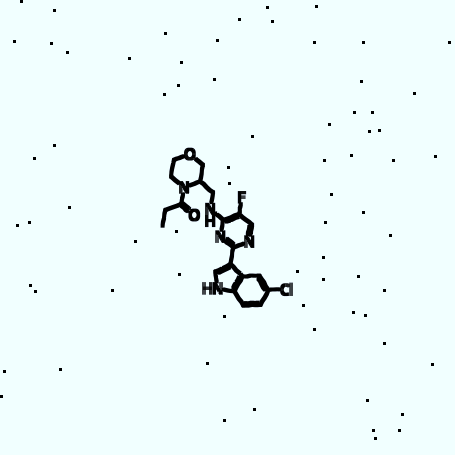 CCC(=O)N1CCOCC1CNc1nc(-c2c[nH]c3ccc(Cl)cc23)ncc1F